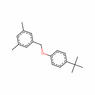 Cc1cc(C)cc(COc2ccc(C(C)(C)C)cc2)c1